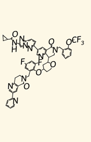 O=C(Nc1cn2nc(-c3cnc4c(c3)C(=O)N(Cc3ccccc3OC(F)(F)F)CC4C3CC(Oc4c(F)cc(F)cc4CN4CCc5ncc(-c6ccccn6)cc5C4=O)CCO3)ccc2n1)C1CC1